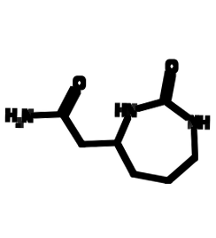 NC(=O)CC1CCCNC(=O)N1